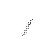 CCCc1ccc(C2CCC([C@H]3CC[C@H](CCC)CC3)CC2)cc1